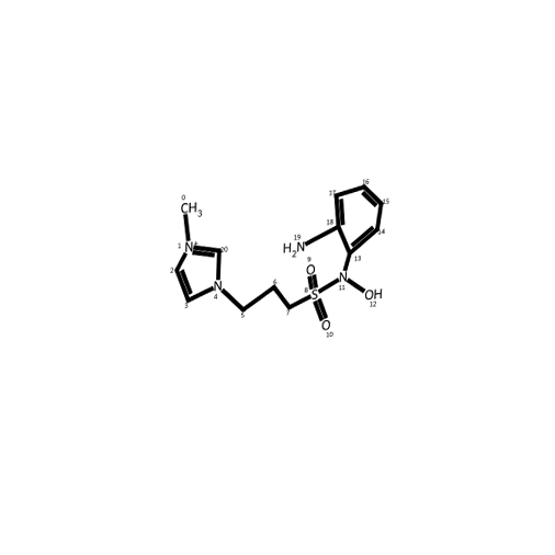 C[n+]1ccn(CCCS(=O)(=O)N(O)c2ccccc2N)c1